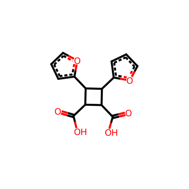 O=C(O)C1C(C(=O)O)C(c2ccco2)C1c1ccco1